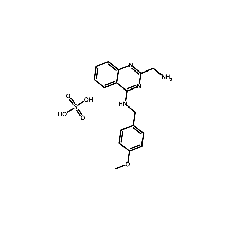 COc1ccc(CNc2nc(CN)nc3ccccc23)cc1.O=S(=O)(O)O